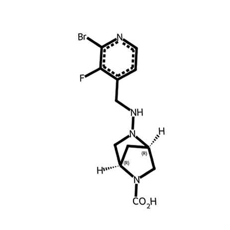 O=C(O)N1C[C@H]2C[C@@H]1CN2NCc1ccnc(Br)c1F